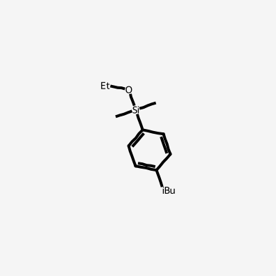 CCO[Si](C)(C)c1ccc(C(C)CC)cc1